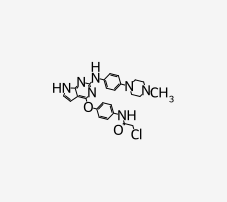 CN1CCN(c2ccc(Nc3nc(Oc4ccc(NC(=O)CCl)cc4)c4cc[nH]c4n3)cc2)CC1